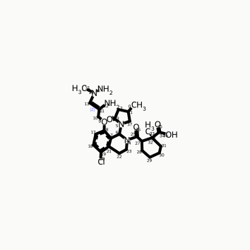 CC1CC(=O)N(C2c3c(OC/C(N)=C/N(C)N)ccc(Cl)c3CCN2C(=O)C2CCCC[C@]2(C)C(=O)O)C1